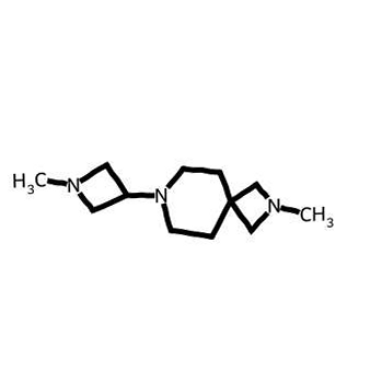 CN1CC(N2CCC3(CC2)CN(C)C3)C1